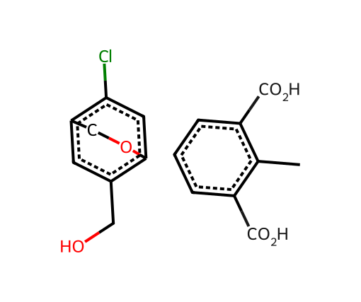 Cc1c(C(=O)O)cccc1C(=O)O.OCc1cc2c(Cl)cc1OC2